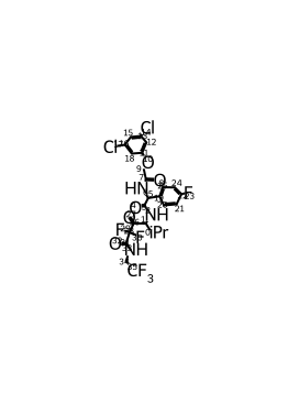 CC(C)C(NC(=O)C(NC(=O)COc1cc(Cl)cc(Cl)c1)c1ccc(F)cc1)C(=O)C(F)(F)C(=O)NCC(F)(F)F